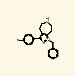 Fc1ccc(-c2nn(Cc3ccccc3)c3c2CCNCC3)cc1